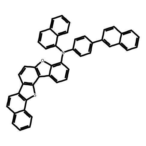 c1ccc2cc(-c3ccc(N(c4cccc5ccccc45)c4cccc5c4oc4ccc6c7ccc8ccccc8c7sc6c45)cc3)ccc2c1